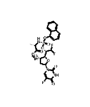 CC(C)OC(=O)[C@H](C)N[P@@](=O)(Oc1cccc2ccccc12)O[C@H](C(F)F)[C@H]1O[C@@H](n2cc(F)c(=O)[nH]c2=O)C[C@@H]1O